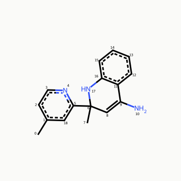 Cc1ccnc(C2(C)C=C(N)c3ccccc3N2)c1